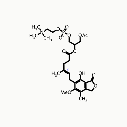 COc1c(C)c2c(c(O)c1C/C=C(\C)CCC(=O)OC(COC(C)=O)COP(=O)([O-])OCC[N+](C)(C)C)C(=O)OC2